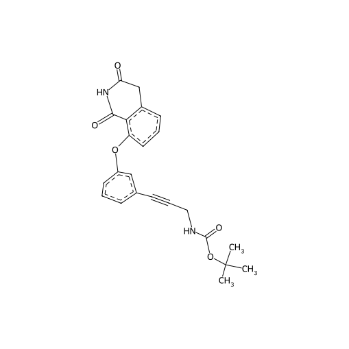 CC(C)(C)OC(=O)NCC#Cc1cccc(Oc2cccc3c2C(=O)NC(=O)C3)c1